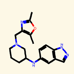 Cc1nc(CN2CCCC(Nc3ccc4[nH]ncc4c3)C2)c(C)o1